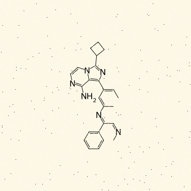 C\C=C(/C=C(C)/N=C(\C=N/C)c1ccccc1)c1nc(C2CCC2)n2ccnc(N)c12